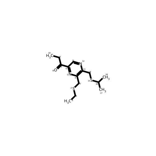 CCSCc1nc(C(=O)CC)cnc1CSC(C)C